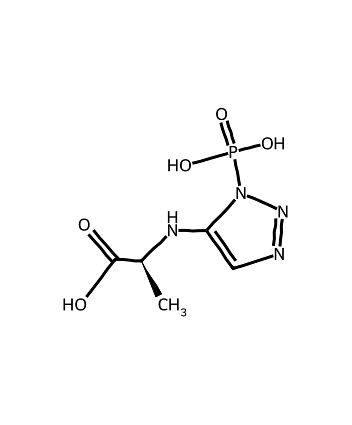 C[C@H](Nc1cnnn1P(=O)(O)O)C(=O)O